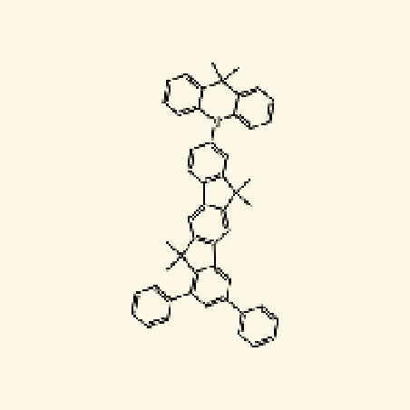 CC1(C)c2cc(N3c4ccccc4C(C)(C)c4ccccc43)ccc2-c2cc3c(cc21)-c1cc(-c2ccccc2)cc(-c2ccccc2)c1C3(C)C